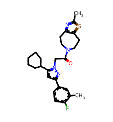 Cc1nc2c(s1)CCN(C(=O)Cn1nc(-c3ccc(F)c(C)c3)cc1C1CCCCC1)CC2